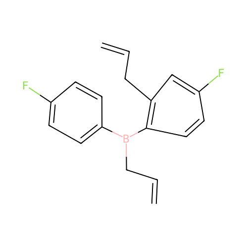 C=CCB(c1ccc(F)cc1)c1ccc(F)cc1CC=C